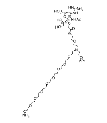 CCCOCCN(CCOCCNC(=O)CO[C@@H]([C@@H]1OC(C(=O)O)=C[C@H](NC(=N)N)[C@H]1NC(C)=O)[C@H](O)CO)CCOCCOCCOCCOCCOCCOCCOCCOCCON